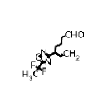 C=CC(CCCC=O)c1noc(C(C)(F)F)n1